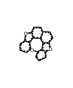 Clc1cccc2oc3ccc4ccc5oc6ccccc6c5c4c3c12